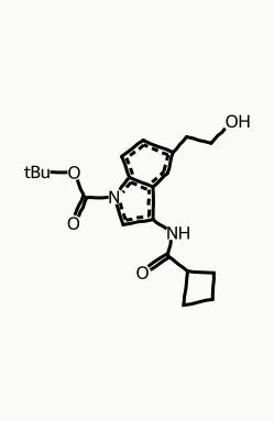 CC(C)(C)OC(=O)n1cc(NC(=O)C2CCC2)c2cc(CCO)ccc21